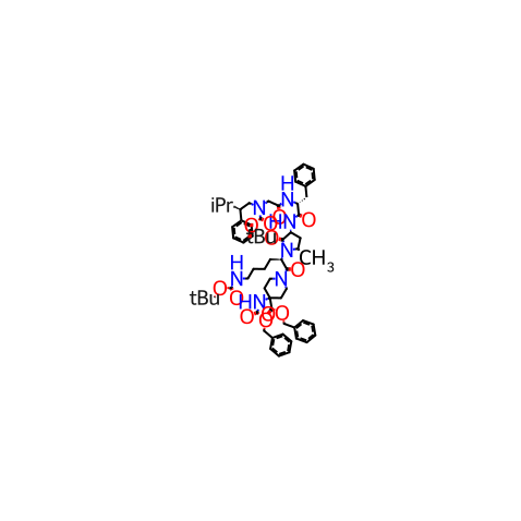 CC(C)[C@@H](CN(CC(=O)N[C@H](Cc1ccccc1)C(=O)N[C@@H]1CC(C)N([C@H](CCCCNC(=O)OC(C)(C)C)C(=O)N2CCC(NC(=O)OCc3ccccc3)(C(=O)OCc3ccccc3)CC2)C1=O)C(=O)OC(C)(C)C)c1ccccc1